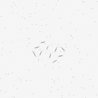 Oc1ccc2ccccc2c1-c1c(O)c(Cl)cc2ccccc12